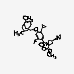 COC(=O)[C@@H]1C[C@H](C#N)CN1C(=O)c1cc(C2CC2)c(OCC23CC=C(C)C(CC(C)C2)C3)cc1F